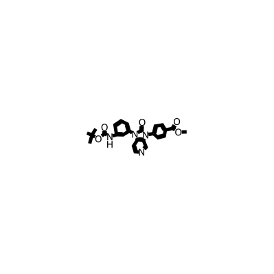 COC(=O)c1ccc(-n2c(=O)n(-c3cccc(NC(=O)OC(C)(C)C)c3)c3ccncc32)cc1